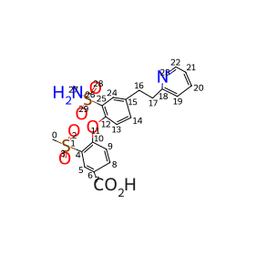 CS(=O)(=O)c1cc(C(=O)O)ccc1Oc1ccc(CCc2ccccn2)cc1S(N)(=O)=O